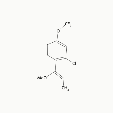 CC=C(OC)c1ccc(OC(F)(F)F)cc1Cl